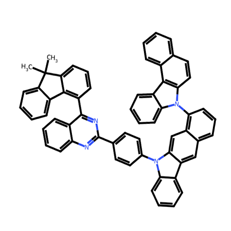 CC1(C)c2ccccc2-c2c(-c3nc(-c4ccc(-n5c6ccccc6c6cc7cccc(-n8c9ccccc9c9c%10ccccc%10ccc98)c7cc65)cc4)nc4ccccc34)cccc21